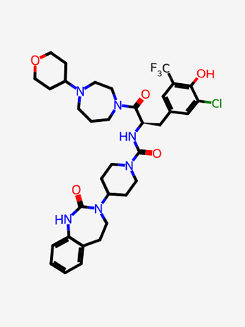 O=C(N[C@H](Cc1cc(Cl)c(O)c(C(F)(F)F)c1)C(=O)N1CCCN(C2CCOCC2)CC1)N1CCC(N2CCc3ccccc3NC2=O)CC1